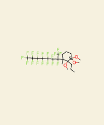 CCCC1(OC)C(C)(C(F)(C(F)(F)F)C(F)(F)C(F)(F)C(F)(F)C(F)(F)C(F)(F)C(F)(F)F)CCC[Si]1(OC)OC